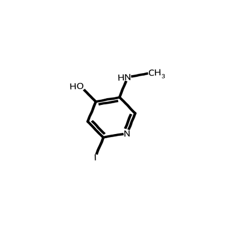 CNc1cnc(I)cc1O